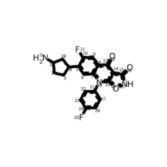 NC1CCC(c2cc3c(cc2F)c(=O)c2c(=O)[nH]oc2n3-c2ccc(F)cc2)C1